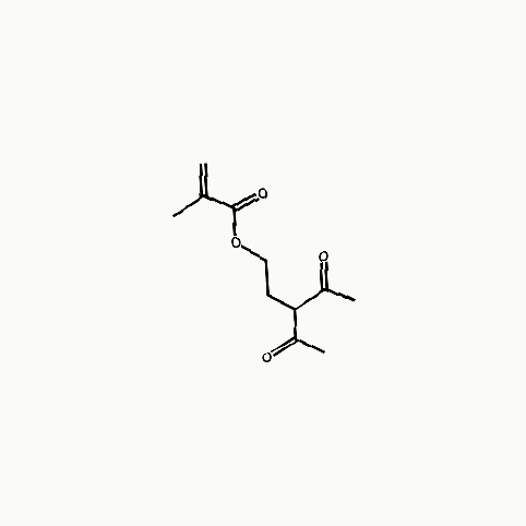 C=C(C)C(=O)OCCC(C(C)=O)C(C)=O